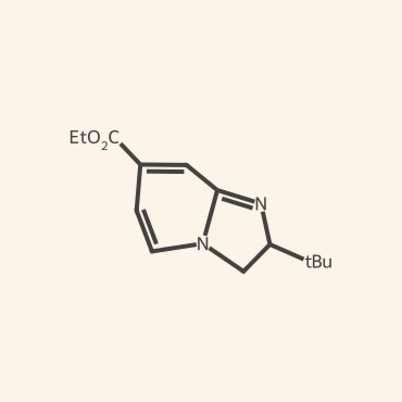 CCOC(=O)C1=CC2=NC(C(C)(C)C)CN2C=C1